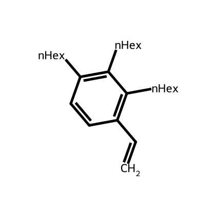 C=Cc1ccc(CCCCCC)c(CCCCCC)c1CCCCCC